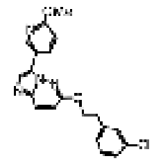 COc1ccc(-c2cnc3ccc(OCCc4cccc(Cl)c4)nn23)cn1